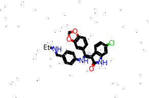 CCNCc1ccc(N/C(=C2\C(=O)Nc3cc(Cl)ccc32)c2ccc3c(c2)OCO3)cc1